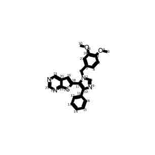 COc1ccc(Cn2cnc(-c3ccccc3)c2-c2cc3cncnc3s2)cc1OC